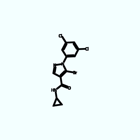 O=C(NC1CC1)c1cnn(-c2cc(Cl)cc(Cl)c2)c1Br